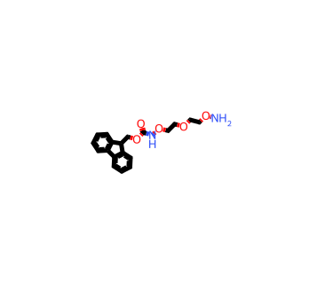 NOCCOCCONC(=O)OCC1c2ccccc2-c2ccccc21